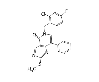 CSc1ncc2c(=O)n(Cc3ccc(F)cc3Cl)cc(-c3ccccc3)c2n1